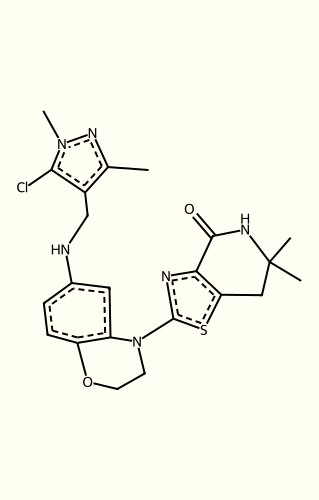 Cc1nn(C)c(Cl)c1CNc1ccc2c(c1)N(c1nc3c(s1)CC(C)(C)NC3=O)CCO2